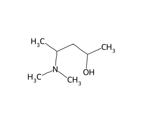 CC(O)CC(C)N(C)C